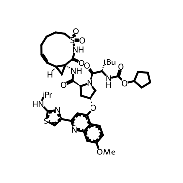 COc1ccc2c(O[C@@H]3C[C@@H](C(=O)N[C@]45C[C@H]4/C=C\CCCCS(=O)(=O)NC5=O)N(C(=O)[C@@H](NC(=O)OC4CCCC4)C(C)(C)C)C3)cc(-c3csc(NC(C)C)n3)nc2c1